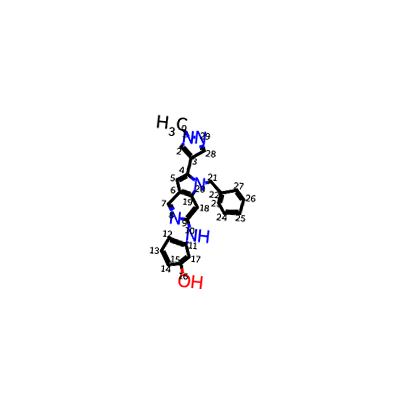 Cn1cc(-c2cc3cnc(Nc4cccc(O)c4)cc3n2Cc2ccccc2)cn1